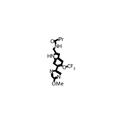 COc1cnc(-c2cc3[nH]c(CNC(=O)C(C)C)cc3cc2OC(F)(F)F)cn1